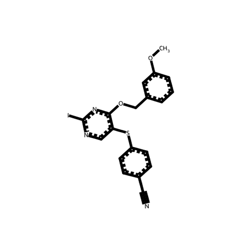 COc1cccc(COc2nc(I)ncc2Sc2ccc(C#N)cc2)c1